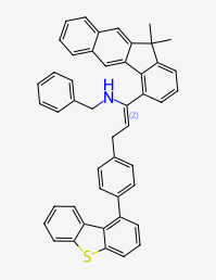 CC1(C)c2cc3ccccc3cc2-c2c(/C(=C/Cc3ccc(-c4cccc5sc6ccccc6c45)cc3)NCc3ccccc3)cccc21